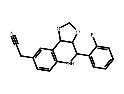 N#CCc1ccc2c(c1)C1OCOC1C(c1ccccc1F)N2